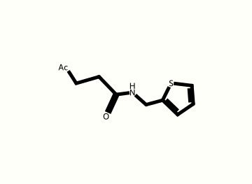 CC(=O)CCC(=O)NCc1cccs1